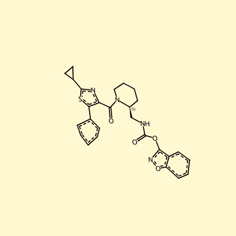 O=C(NC[C@@H]1CCCCN1C(=O)c1nc(C2CC2)sc1-c1ccccc1)Oc1noc2ccccc12